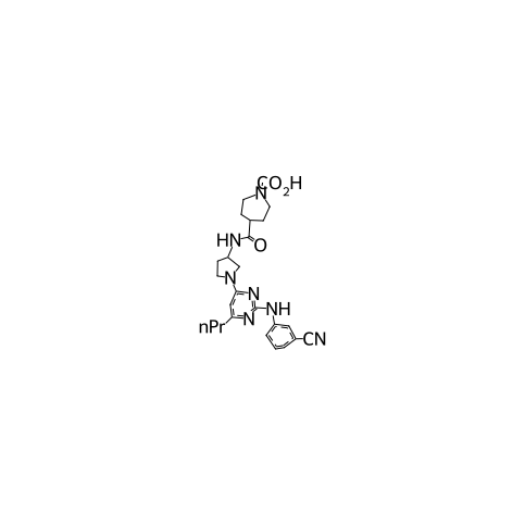 CCCc1cc(N2CCC(NC(=O)C3CCN(C(=O)O)CC3)C2)nc(Nc2cccc(C#N)c2)n1